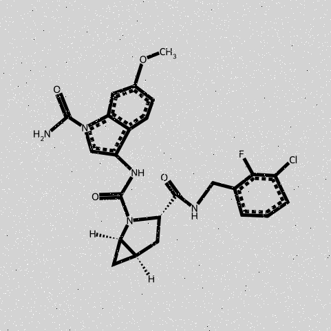 COc1ccc2c(NC(=O)N3[C@@H]4C[C@@H]4C[C@H]3C(=O)NCc3cccc(Cl)c3F)cn(C(N)=O)c2c1